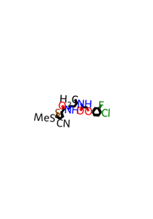 C=C(CCNC(=O)c1cc(C#N)c(SC)s1)NC(=O)COc1ccc(Cl)c(F)c1